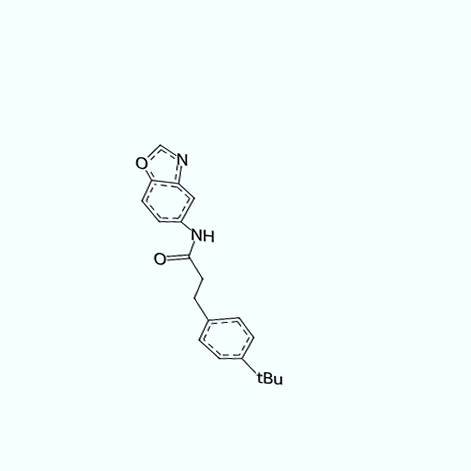 CC(C)(C)c1ccc(CCC(=O)Nc2ccc3ocnc3c2)cc1